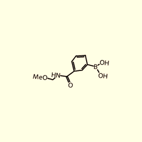 COCNC(=O)c1cccc(B(O)O)c1